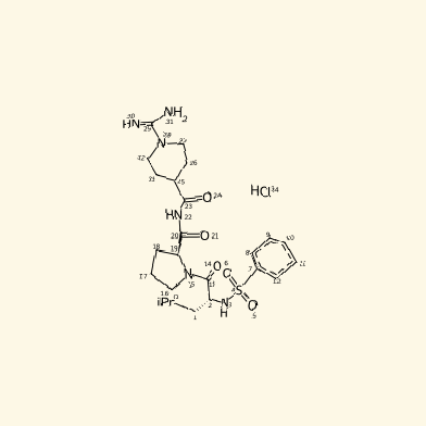 CC(C)C[C@@H](NS(=O)(=O)c1ccccc1)C(=O)N1CCC[C@H]1C(=O)NC(=O)C1CCN(C(=N)N)CC1.Cl